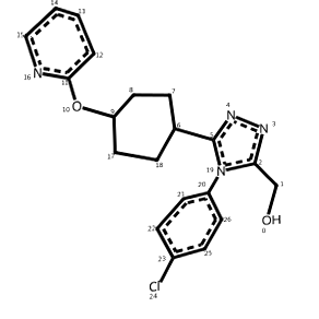 OCc1nnc(C2CCC(Oc3ccccn3)CC2)n1-c1ccc(Cl)cc1